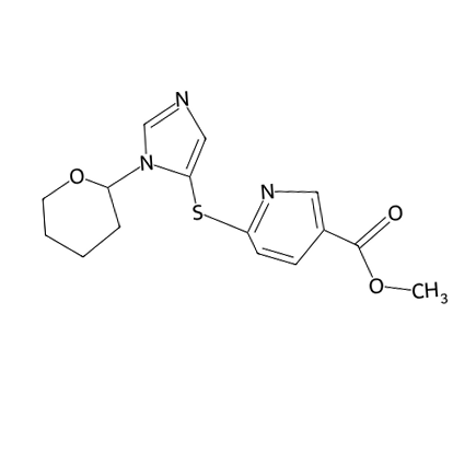 COC(=O)c1ccc(Sc2cncn2C2CCCCO2)nc1